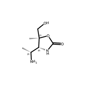 C[C@@H](N)[C@H]1NC(=O)O[C@]1(C)CO